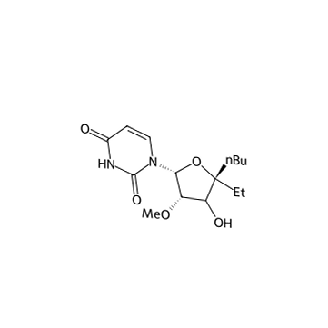 CCCC[C@]1(CC)O[C@@H](n2ccc(=O)[nH]c2=O)[C@@H](OC)C1O